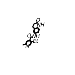 CCc1cnc(C)cc1C(=O)Nc1ccc2c(c1)CCC(=O)N2